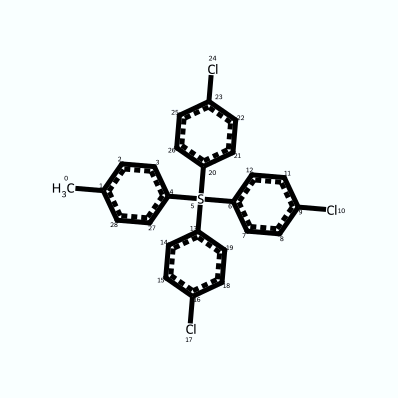 Cc1ccc(S(c2ccc(Cl)cc2)(c2ccc(Cl)cc2)c2ccc(Cl)cc2)cc1